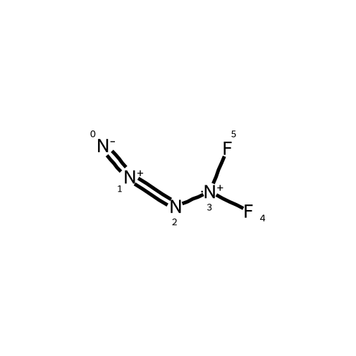 [N-]=[N+]=N[N+](F)F